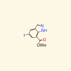 COC(=O)c1cc(I)cc2cn[nH]c12